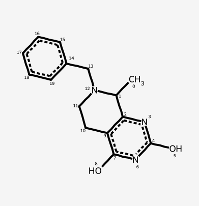 CC1c2nc(O)nc(O)c2CCN1Cc1ccccc1